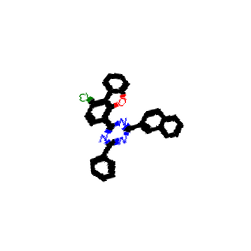 Clc1ccc(-c2nc(-c3ccccc3)nc(-c3ccc4ccccc4c3)n2)c2oc3ccccc3c12